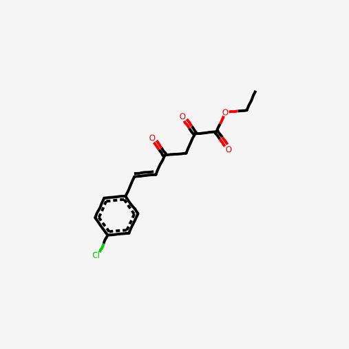 CCOC(=O)C(=O)CC(=O)C=Cc1ccc(Cl)cc1